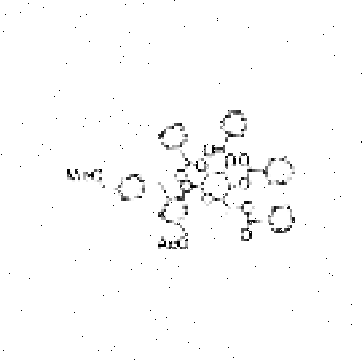 COCc1ccc(Cc2ccc(COC(C)=O)cc2O[C@@H]2O[C@H]([C@@H](C)OC(=O)c3ccccc3)[C@@H](OC(=O)c3ccccc3)[C@H](OC(=O)c3ccccc3)[C@H]2OC(=O)c2ccccc2)cc1